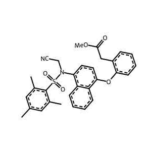 COC(=O)Cc1ccccc1Oc1ccc(N(CC#N)S(=O)(=O)c2c(C)cc(C)cc2C)c2ccccc12